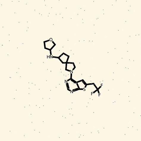 FC(F)(F)Cc1cc2c(N3CCC4(CCC(NC5CCOC5)C4)C3)ncnc2s1